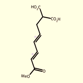 COC(=O)/C=C/C=C/CC(C(=O)O)C(=O)O